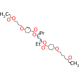 C=CC(=O)CCCCCOC1CCC(C(=O)O/C(=C/C=C(/OC(=O)C2C=CC(OCCCCOC(=O)C=C)CC2)C(C)C)CC)CC1